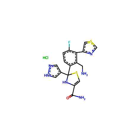 Cl.NCc1c(C2(c3cn[nH]c3)NC(C(N)=O)=CS2)ccc(F)c1-c1cscn1